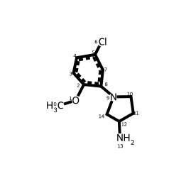 COc1ccc(Cl)cc1N1CCC(N)C1